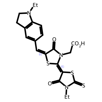 CCN1C(=O)/C(=c2\s/c(=C/c3ccc4c(c3)CCN4CC)c(=O)n2CC(=O)O)SC1=S